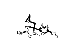 Cc1nnc(C(C)(CC2CC2)N[S+]([O-])C(C)(C)C)o1